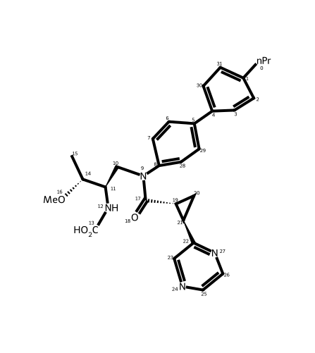 CCCc1ccc(-c2ccc(N(C[C@@H](NC(=O)O)[C@@H](C)OC)C(=O)[C@@H]3C[C@H]3c3cnccn3)cc2)cc1